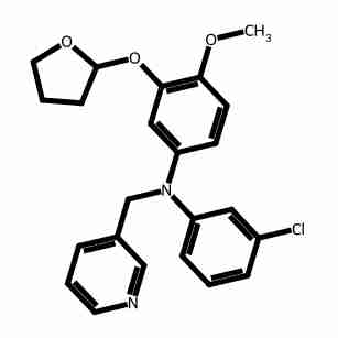 COc1ccc(N(Cc2cccnc2)c2cccc(Cl)c2)cc1OC1CCCO1